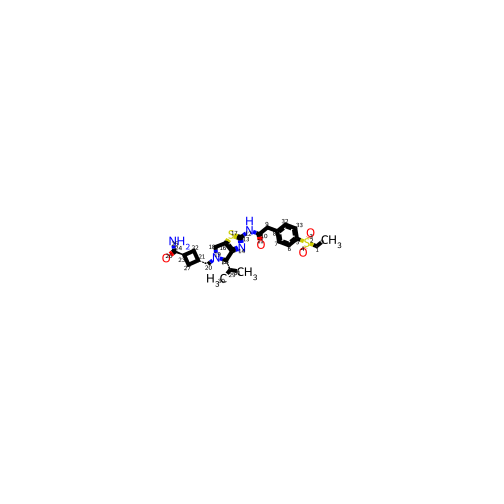 CCS(=O)(=O)c1ccc(CC(=O)Nc2nc3c(s2)CN(C[C@H]2C[C@H](C(N)=O)C2)[C@H]3C(C)C)cc1